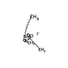 CCCCCCCCCCCCCCCCN(Cc1ccc[n+](CCC)c1)Cc1cccc(Cl)c1OCCCCCCCCCCCCCC.[I-]